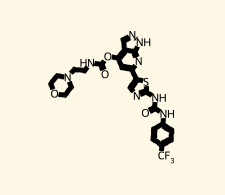 O=C(Nc1ccc(C(F)(F)F)cc1)Nc1ncc(-c2cc(OC(=O)NCCN3CCOCC3)c3cn[nH]c3n2)s1